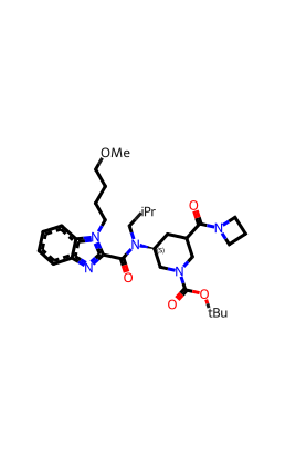 COCCCCn1c(C(=O)N(CC(C)C)[C@H]2CC(C(=O)N3CCC3)CN(C(=O)OC(C)(C)C)C2)nc2ccccc21